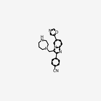 N#Cc1ccc(-c2nc3ccc(-c4cnco4)cn3c2CN2CCCNCC2)cc1